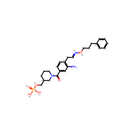 Nc1cc(C(=O)N2CCCC(COP(=O)(O)O)C2)ccc1C/C=N/OCCCc1ccccc1